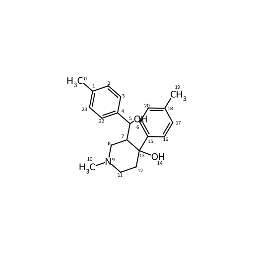 Cc1ccc(C(O)C2CN(C)CCC2(O)c2ccc(C)cc2)cc1